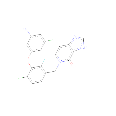 Nc1cc(Cl)cc(Oc2c(Cl)ccc(Cn3ccc4nc[nH]c4c3=O)c2F)c1